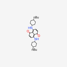 CCCCC1CCC(NC2=C3C(=O)C=CC(NC4CCC(CCCC)CC4)=C3C(=O)C=C2)CC1